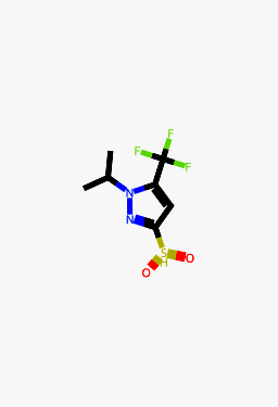 CC(C)n1nc([SH](=O)=O)cc1C(F)(F)F